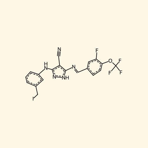 N#Cc1c(Nc2cccc(CI)c2)n[nH]c1/N=C/c1ccc(OC(F)(F)F)c(F)c1